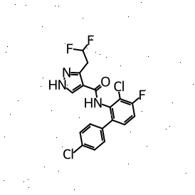 O=C(Nc1c(-c2ccc(Cl)cc2)ccc(F)c1Cl)c1c[nH]nc1CC(F)F